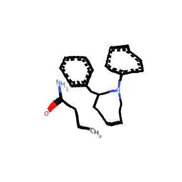 CCCC(N)=O.c1ccc(C2CCCCN2c2ccccc2)cc1